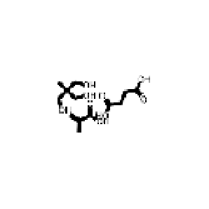 C=C(C)C(=O)O.CC(CO)(CO)CO.O=C(O)CCC(=O)O